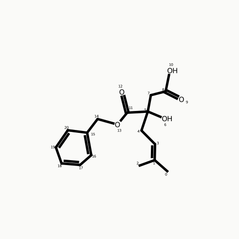 CC(C)=CCC(O)(CC(=O)O)C(=O)OCc1ccccc1